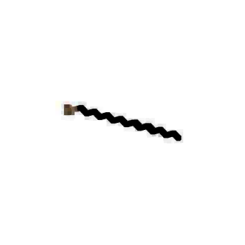 CCCC/C=C/C=C/CCCCCCCCBr